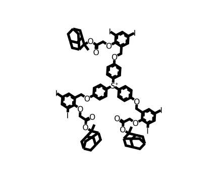 CC1(OC(=O)COc2c(I)cc(I)cc2COc2ccc([S+](c3ccc(OCc4cc(I)cc(I)c4OCC(=O)OC4(C)C5CC6CC(C5)CC4C6)cc3)c3ccc(OCc4cc(I)cc(I)c4OCC(=O)OC4(C)C5CC6CC(C5)CC4C6)cc3)cc2)C2CC3CC(C2)CC1C3